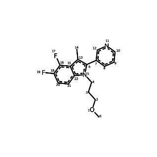 COCCCn1c(-c2cccnc2)c(C)c2c(F)c(F)ccc21